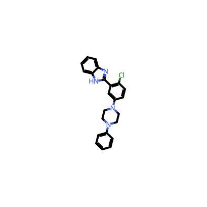 Clc1ccc(N2CCN(c3ccccc3)CC2)cc1-c1nc2ccccc2[nH]1